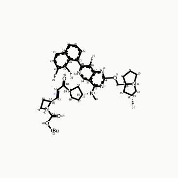 CN(c1nc(OC[C@@]23CCCN2C[C@H](F)C3)nc2c(F)c(-c3cccc4ccc(F)c(F)c34)ncc12)[C@@H]1CCN(C(=O)/C=C/[C@@H]2CCN2C(=O)OC(C)(C)C)C1